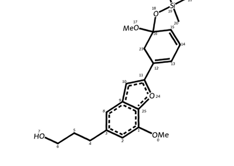 COc1cc(CCCO)cc2cc(C3=CC=CC(OC)(O[Si](C)(C)C(C)(C)C)C3)oc12